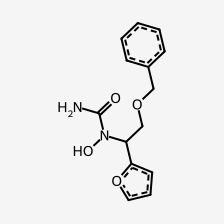 NC(=O)N(O)C(COCc1ccccc1)c1ccco1